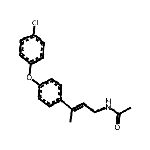 CC(=O)NCC=C(C)c1ccc(Oc2ccc(Cl)cc2)cc1